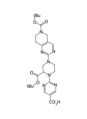 CC(C)(C)OC(=O)C1CN(c2ncc3c(n2)CCN(C(=O)OC(C)(C)C)C3)CCN1c1ncc(C(=O)O)cn1